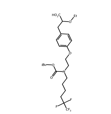 CCOC(Cc1ccc(OCCN(CCCCC(F)(F)C(F)(F)F)C(=O)OC(C)CC)cc1)C(=O)O